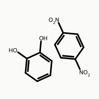 O=[N+]([O-])c1ccc([N+](=O)[O-])cc1.Oc1ccccc1O